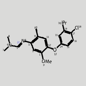 COc1cc(/N=C/N(C)C)c(C)cc1Oc1ccc(Cl)c(C(C)C)c1